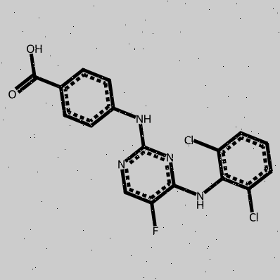 O=C(O)c1ccc(Nc2ncc(F)c(Nc3c(Cl)cccc3Cl)n2)cc1